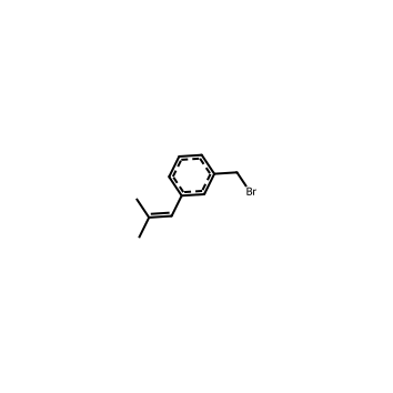 CC(C)=Cc1cccc(CBr)c1